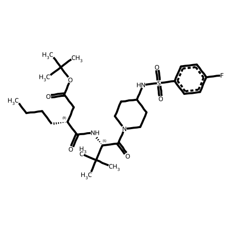 CCCC[C@H](CC(=O)OC(C)(C)C)C(=O)N[C@H](C(=O)N1CCC(NS(=O)(=O)c2ccc(F)cc2)CC1)C(C)(C)C